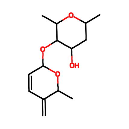 C=C1C=CC(OC2C(O)CC(C)OC2C)OC1C